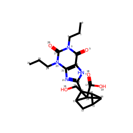 CCCn1c(=O)c2[nH]c(C3C4C5CC3C(CO)(C(=O)O)C54)nc2n(CCC)c1=O